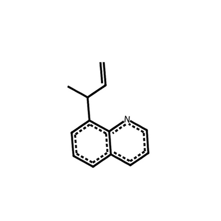 C=CC(C)c1cccc2cccnc12